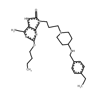 CCCCOc1nc(N)c2[nH]c(=O)n(CCCN3CCC(NCc4ccc(CC)cc4)CC3)c2n1